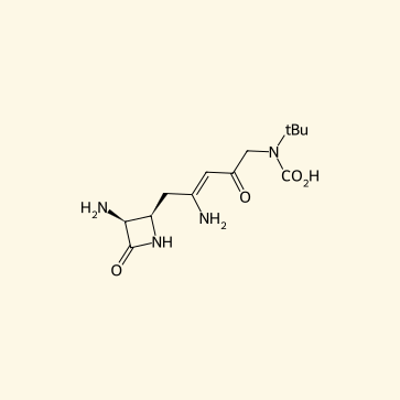 CC(C)(C)N(CC(=O)C=C(N)C[C@H]1NC(=O)[C@H]1N)C(=O)O